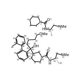 CNC[C@H](C)NC(=O)N1CCCCC1.CNC[C@H](C)NC(=O)N1CCC[C@@H]([C@@](O)(CCCCOC)c2ccccc2-c2ccccc2C)C1